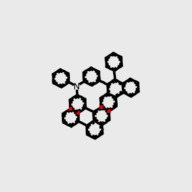 c1ccc(-c2c(-c3cccc(N(c4ccccc4)c4cccc(-c5cccc6cccc(-c7ccccc7)c56)c4)c3)c3ccccc3c3ccccc23)cc1